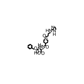 O=C(N[C@@H](CNC(=O)C1CCN(C(=O)CCCNC2=NCCN2)CC1)C(=O)O)OCc1ccccc1